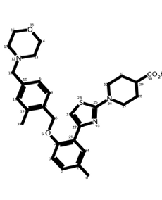 Cc1ccc(OCc2ccc(CN3CCOCC3)cc2C)c(-c2csc(N3CCC(C(=O)O)CC3)n2)c1